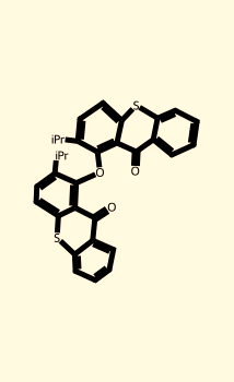 CC(C)c1ccc2sc3ccccc3c(=O)c2c1Oc1c(C(C)C)ccc2sc3ccccc3c(=O)c12